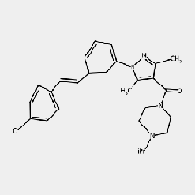 Cc1nn(C2=CC=CC(/C=C/c3ccc(Cl)cc3)C2)c(C)c1C(=O)N1CCN(C(C)C)CC1